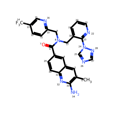 Cc1cc2cc(C(=O)N(Cc3ccc(C(F)(F)F)cn3)Cc3cccnc3-n3cncn3)ccc2nc1N